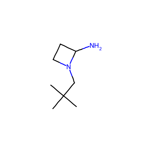 CC(C)(C)CN1CCC1N